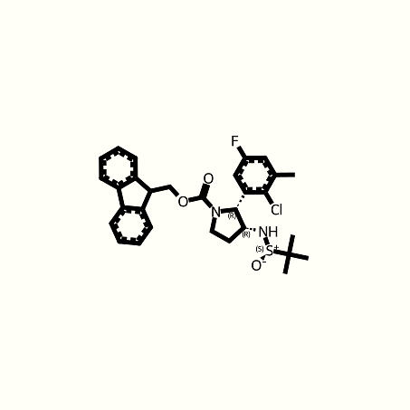 Cc1cc(F)cc([C@@H]2[C@H](N[S@+]([O-])C(C)(C)C)CCN2C(=O)OCC2c3ccccc3-c3ccccc32)c1Cl